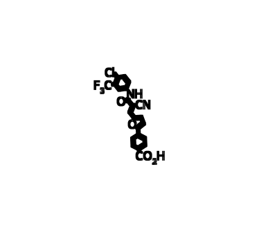 N#C/C(=C\c1ccc(-c2ccc(C(=O)O)cc2)o1)C(=O)Nc1ccc(Cl)c(C(F)(F)F)c1